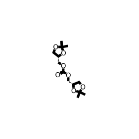 CC1(C)OC[C@@H](COC(=O)OC[C@@H]2COC(C)(C)O2)O1